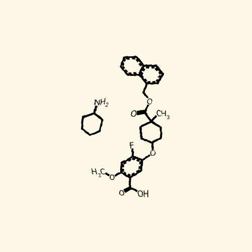 COc1cc(F)c(OC2CCC(C)(C(=O)OCc3cccc4ccccc34)CC2)cc1C(=O)O.NC1CCCCC1